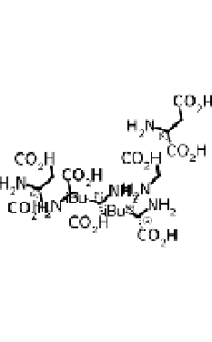 CC[C@H](C)[C@H](N)C(=O)O.CC[C@H](C)[C@H](N)C(=O)O.NCC(=O)O.NCC(=O)O.N[C@@H](CC(=O)O)C(=O)O.N[C@@H](CC(=O)O)C(=O)O